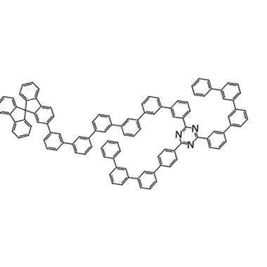 c1ccc(-c2cccc(-c3cccc(-c4ccc(-c5nc(-c6cccc(-c7cccc(-c8cccc(-c9ccccc9)c8)c7)c6)nc(-c6cccc(-c7cccc(-c8cccc(-c9cccc(-c%10cccc(-c%11cccc(-c%12ccc%13c(c%12)C%12(c%14ccccc%14-c%14ccccc%14%12)c%12ccccc%12-%13)c%11)c%10)c9)c8)c7)c6)n5)cc4)c3)c2)cc1